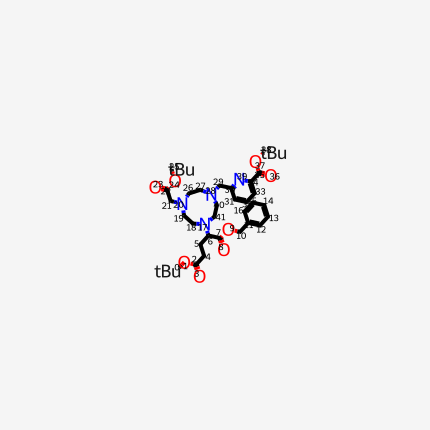 CC(C)(C)OC(=O)CCC(C(=O)OCc1ccccc1)N1CCN(CC(=O)OC(C)(C)C)CCN(Cc2cccc(C(=O)OC(C)(C)C)n2)CC1